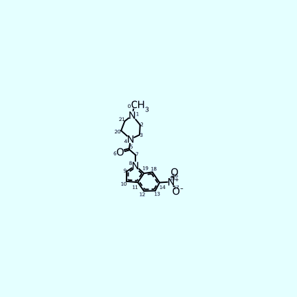 CN1CCN(C(=O)Cn2ccc3ccc([N+](=O)[O-])cc32)CC1